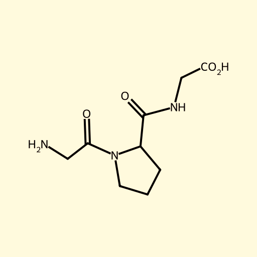 NCC(=O)N1CCCC1C(=O)NCC(=O)O